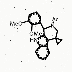 COc1cccc(C2c3[nH]c4ccccc4c3C3(CC3)CN2C(C)=O)c1OC